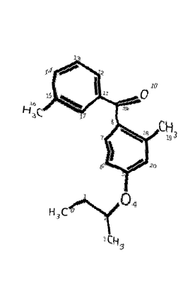 CCC(C)Oc1ccc(C(=O)c2cccc(C)c2)c(C)c1